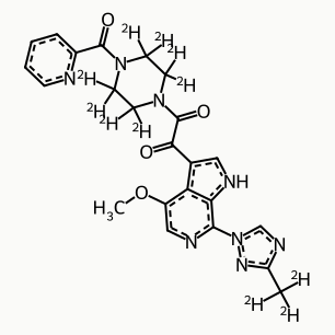 [2H]C([2H])([2H])c1ncn(-c2ncc(OC)c3c(C(=O)C(=O)N4C([2H])([2H])C([2H])([2H])N(C(=O)c5ccccn5)C([2H])([2H])C4([2H])[2H])c[nH]c23)n1